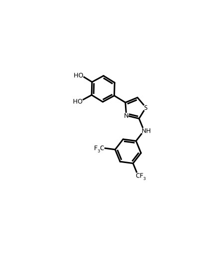 Oc1ccc(-c2csc(Nc3cc(C(F)(F)F)cc(C(F)(F)F)c3)n2)cc1O